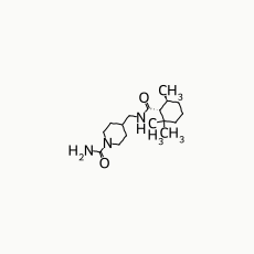 C[C@H]1CCCC(C)(C)[C@@H]1C(=O)NCC1CCN(C(N)=O)CC1